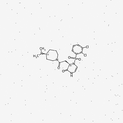 CN(C)[C@H]1CCCN(C(=O)C[C@@H]2C(=O)NC=CN2S(=O)(=O)c2cccc(Cl)c2Cl)CC1